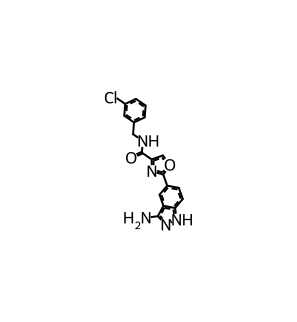 Nc1n[nH]c2ccc(-c3nc(C(=O)NCc4cccc(Cl)c4)co3)cc12